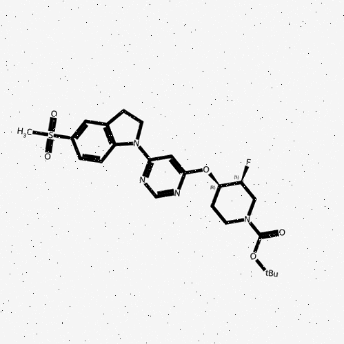 CC(C)(C)OC(=O)N1CC[C@@H](Oc2cc(N3CCc4cc(S(C)(=O)=O)ccc43)ncn2)[C@@H](F)C1